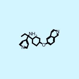 CCC(N)(c1ccncc1)C1CCC(Oc2ccc3cnccc3c2)CC1